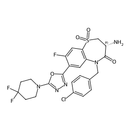 N[C@H]1CS(=O)(=O)c2cc(F)c(-c3nnc(N4CCC(F)(F)CC4)o3)cc2N(Cc2ccc(Cl)cc2)C1=O